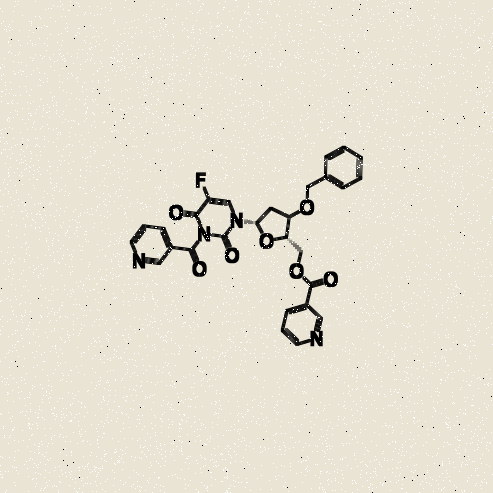 O=C(OC[C@@H]1O[C@H](n2cc(F)c(=O)n(C(=O)c3cccnc3)c2=O)CC1OCc1ccccc1)c1cccnc1